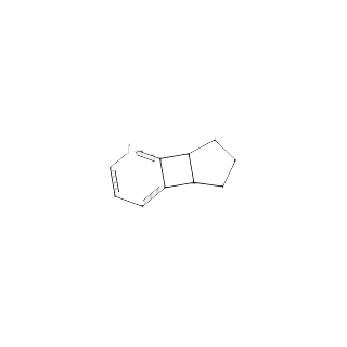 c1cnc2c(c1)C1CCCC21